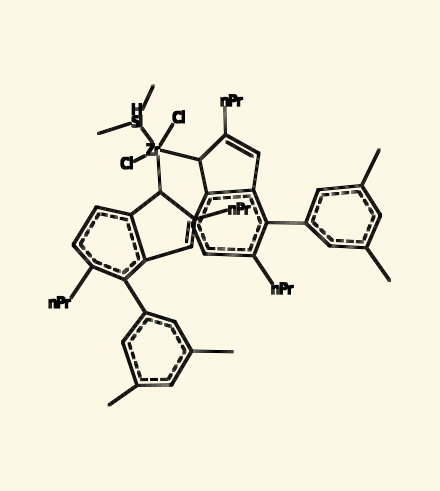 CCCC1=Cc2c(ccc(CCC)c2-c2cc(C)cc(C)c2)[CH]1[Zr]([Cl])([Cl])([CH]1C(CCC)=Cc2c1ccc(CCC)c2-c1cc(C)cc(C)c1)[SiH](C)C